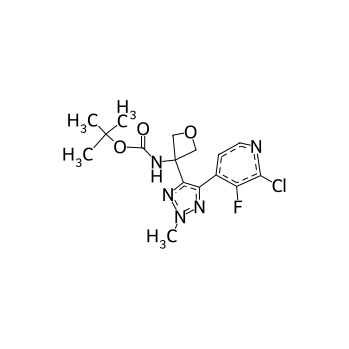 Cn1nc(-c2ccnc(Cl)c2F)c(C2(NC(=O)OC(C)(C)C)COC2)n1